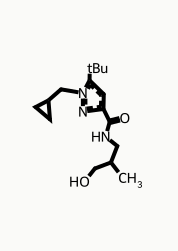 CC(CO)CNC(=O)c1cc(C(C)(C)C)n(CC2CC2)n1